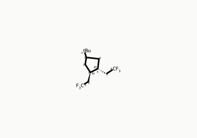 CC(C)(C)C1C[C@H](CC(F)(F)F)[C@@H](CC(F)(F)F)C1